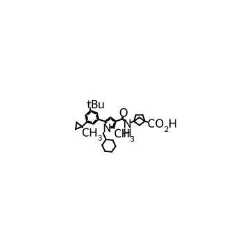 Cc1c(C(=O)NC23CCC(C(=O)O)(C2)C3)cc(-c2cc(C(C)(C)C)cc(C3(C)CC3)c2)n1CC1CCCCC1